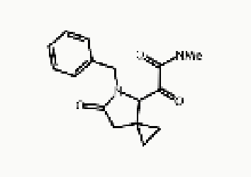 CNC(=O)C(=O)C1N(Cc2ccccc2)C(=O)CC12CC2